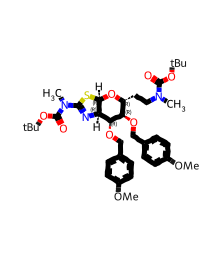 COc1ccc(CO[C@@H]2[C@H]3N=C(N(C)C(=O)OC(C)(C)C)S[C@H]3O[C@H](CCN(C)C(=O)OC(C)(C)C)[C@H]2OCc2ccc(OC)cc2)cc1